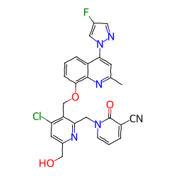 Cc1cc(-n2cc(F)cn2)c2cccc(OCc3c(Cl)cc(CO)nc3Cn3cccc(C#N)c3=O)c2n1